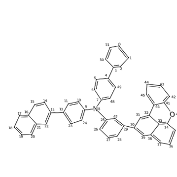 c1ccc(-c2ccc(N(c3ccc(-c4ccc5ccccc5c4)cc3)c3cccc(-c4cc5c6c(cccc6c4)Oc4ccccc4-5)c3)cc2)cc1